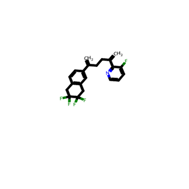 C=C(CCC(=C)c1ncccc1F)c1ccc2c(c1)CC(F)(F)C(F)(F)C2